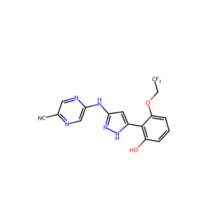 N#Cc1cnc(Nc2cc(-c3c(O)cccc3OCC(F)(F)F)[nH]n2)cn1